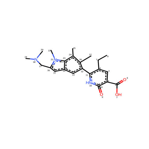 CCc1cc(C(=O)O)c(=O)[nH]c1-c1cc2cc(CN(C)C)n(C)c2c(C)c1C